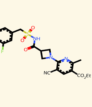 CCOC(=O)c1cc(C#N)c(N2CC(C(=O)NS(=O)(=O)Cc3cccc(F)c3)C2)nc1C